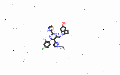 Cn1ccc(C2=C(CN3C4CCC45CC(O)CC35)NC(c3nccs3)=N[C@H]2c2ccc(F)cc2Cl)n1